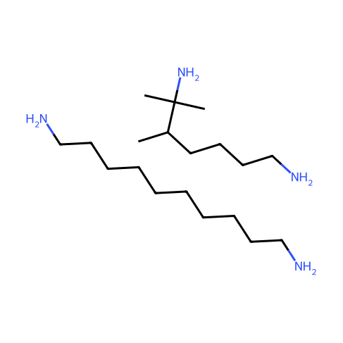 CC(CCCCN)C(C)(C)N.NCCCCCCCCCCN